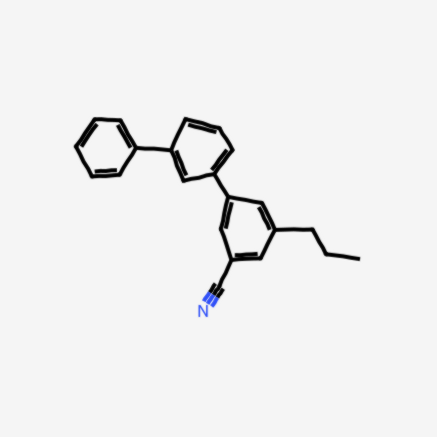 CCCc1cc(C#N)cc(-c2cccc(-c3ccccc3)c2)c1